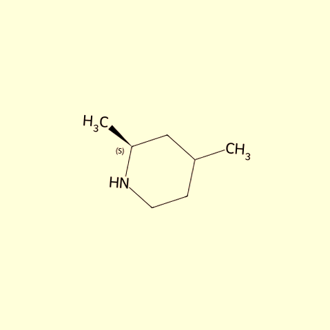 CC1CCN[C@@H](C)C1